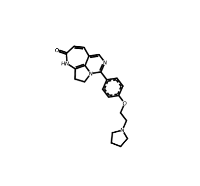 O=C1C=CC2=CN=C(c3ccc(OCCN4CCCC4)cc3)N3CCC(=C23)N1